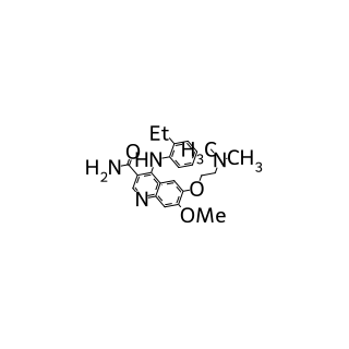 CCc1ccccc1Nc1c(C(N)=O)cnc2cc(OC)c(OCCN(C)C)cc12